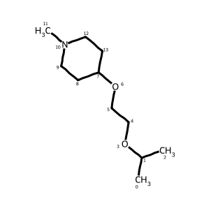 CC(C)OCCOC1CCN(C)CC1